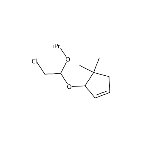 CC(C)OC(CCl)OC1C=CCC1(C)C